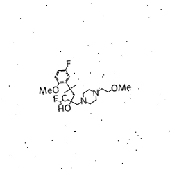 COCCN1CCN(CC(O)(CC(C)(C)c2cc(F)ccc2OC)C(F)(F)F)CC1